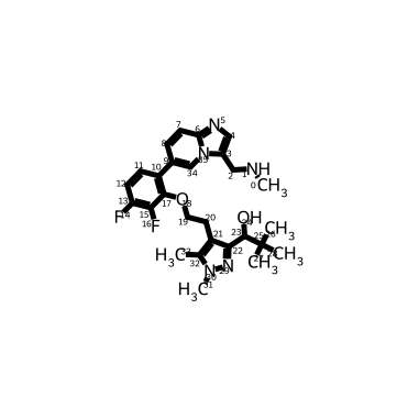 CNCc1cnc2ccc(-c3ccc(F)c(F)c3OCCc3c(C(O)C(C)(C)C)nn(C)c3C)cn12